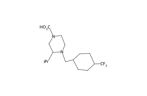 CC(C)C1CN(C(=O)O)CCN1CC1CCC(C(F)(F)F)CC1